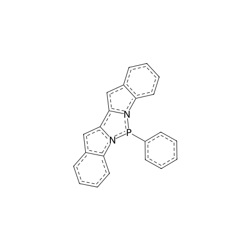 c1ccc(-p2n3c4ccccc4cc3c3cc4ccccc4n32)cc1